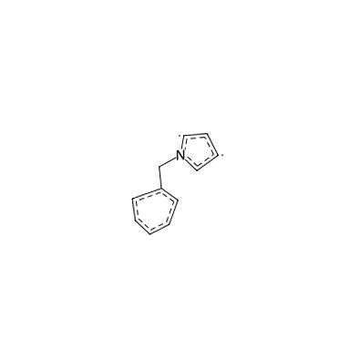 [c]1c[c]n(Cc2ccccc2)c1